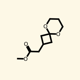 COC(=O)CC1CC2(C1)OCCCO2